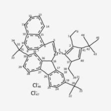 CCC1=[C](/[Zr+2](=[CH]/c2cccc3ccccc23)[CH]2c3cc(C(C)(C)C)ccc3-c3ccc(C(C)(C)C)cc32)C(CC)C=C1C(C)(C)C.[Cl-].[Cl-]